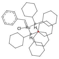 [Cl][Ru](=[CH]c1ccccc1)([PH](C1CCCCC1)(C1CCCCC1)C1CCCCC1)[PH](C1CCCCC1)(C1CCCCC1)C1CCCCC1